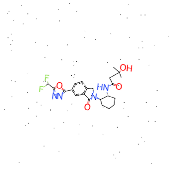 CC(C)(O)CC(=O)N[C@@H]1CCCC[C@H]1N1Cc2ccc(-c3nnc(C(F)F)o3)cc2C1=O